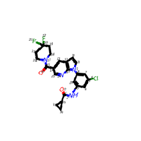 O=C(Nc1cc(Cl)cc(-n2ccc3cc(C(=O)N4CCC(F)(F)CC4)cnc32)c1)C1CC1